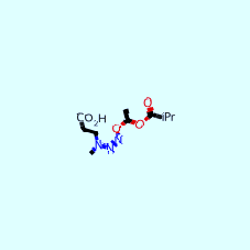 CC(O/N=N\N(C)CCC(=O)O)OC(=O)C(C)C